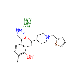 Cc1ccc2c(c1O)CC(C1CCN(Cc3cccs3)CC1)OC2CN.Cl.Cl